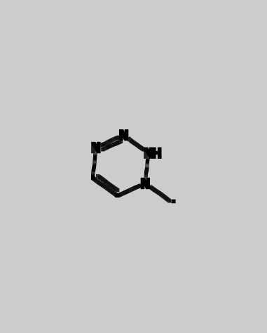 [CH2]N1C=CN=NN1